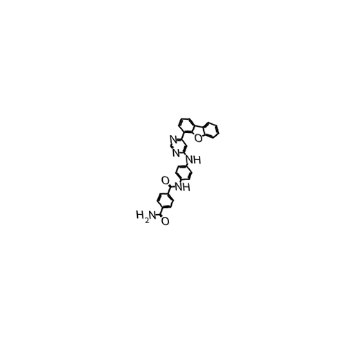 NC(=O)c1ccc(C(=O)Nc2ccc(Nc3cc(-c4cccc5c4oc4ccccc45)ncn3)cc2)cc1